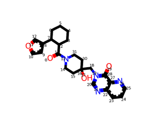 O=C(C1CCCCC1c1ccoc1)N1CCC(O)(Cn2cnc3cccnc3c2=O)CC1